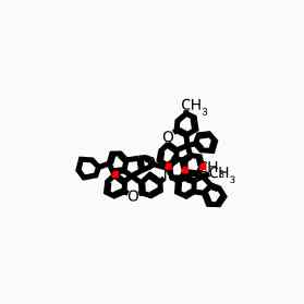 CC1C=CC2=C(C1)Oc1ccc(N(c3ccc4c(c3)C(C)(C)c3ccccc3-4)c3ccc4c(c3)C3(c5ccccc5O4)c4cc(C5CCCCC5)ccc4-c4ccc(C5CCCCC5)cc43)cc1C2(c1ccccc1)c1ccccc1